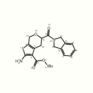 CC(C)(C)OC(=O)c1c(N)sc2c1CC(C(=O)N1Cc3ccccc3C1)OC2